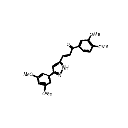 COc1cc(OC)cc(-c2cc(C=CC(=O)c3ccc(OC)c(OC)c3)[nH]n2)c1